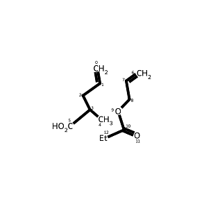 C=CCC(C)C(=O)O.C=CCOC(=O)CC